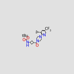 CC(C)(C)OC(=O)NC1CC(C(=O)N2CCN(c3ncc(C(F)(F)F)cc3C3CC3)CC2)C1